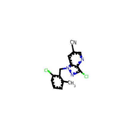 Cc1cccc(Cl)c1Cn1nc(Cl)c2ncc(C#N)cc21